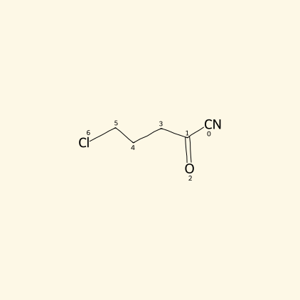 N#CC(=O)CCCCl